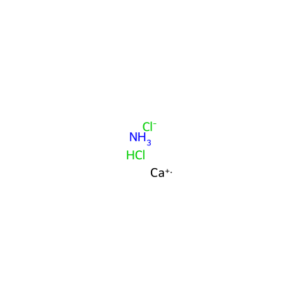 Cl.N.[Ca+].[Cl-]